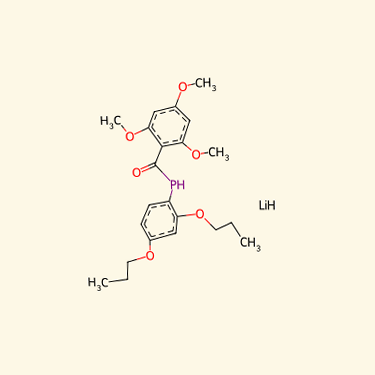 CCCOc1ccc(PC(=O)c2c(OC)cc(OC)cc2OC)c(OCCC)c1.[LiH]